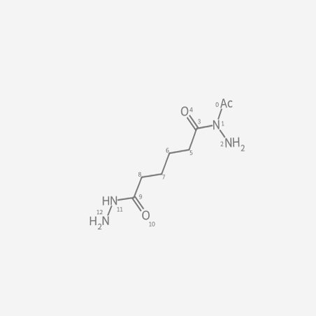 CC(=O)N(N)C(=O)CCCCC(=O)NN